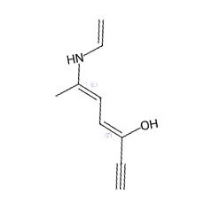 C#C/C(O)=C/C=C(\C)NC=C